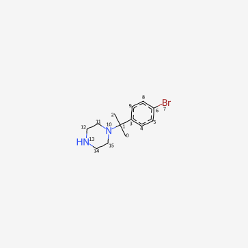 CC(C)(c1ccc(Br)cc1)N1CCNCC1